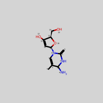 C=C1NC(N)C(C)=CN1[C@H]1C=C(O)[C@@H](CO)O1